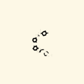 O=C(Nc1ccc(Oc2ccc3ncc(CN4CCNCC4)nc3c2)c(F)c1)Nc1ccc(F)c(C(F)(F)F)c1